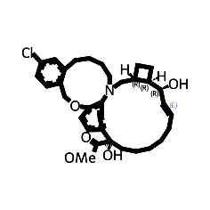 COC(=O)[C@@]1(O)CCCCC/C=C/[C@H](O)[C@@H]2CC[C@H]2CN2CCCCc3cc(Cl)ccc3COc3ccc1cc32